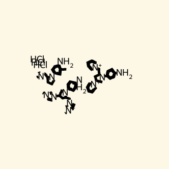 C[n+]1ccn(CC2CC(n3cc[n+](C)c3)CN2c2ccc(N)cc2)c1.Cc1cc(N2CCCC2C[N+](C)(C)C)ccc1N.Cl.Cl.Cl.Nc1ccc(N2CC([n+]3ccccc3)CC2C[n+]2ccccc2)cc1